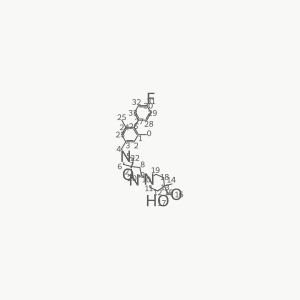 Cc1cc(CN2CC3(CC(N4CCC(C)(C(=O)O)CC4)=NO3)C2)cc(C)c1-c1ccc(F)cc1